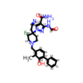 Cc1c(CN2CCC(CC#N)(n3cc(C(N)=O)c(NC=O)n3)C(F)C2)ccc(-c2ccccc2)c1O